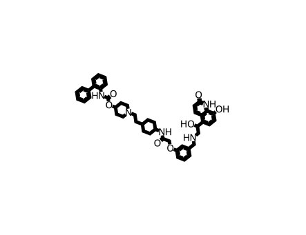 O=C(COc1cccc(CNCC(O)c2ccc(O)c3[nH]c(=O)ccc23)c1)NC1CCC(CCN2CCC(OC(=O)Nc3ccccc3-c3ccccc3)CC2)CC1